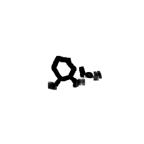 CC(=O)O.CC(C)(C)[C@H]1CCCC[C@H]1O